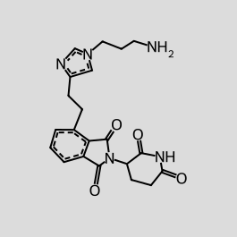 NCCCn1cnc(CCc2cccc3c2C(=O)N(C2CCC(=O)NC2=O)C3=O)c1